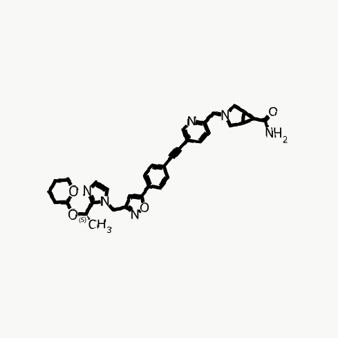 C[C@H](OC1CCCCO1)c1nccn1Cc1cc(-c2ccc(C#Cc3ccc(CN4CC5C(C4)C5C(N)=O)nc3)cc2)on1